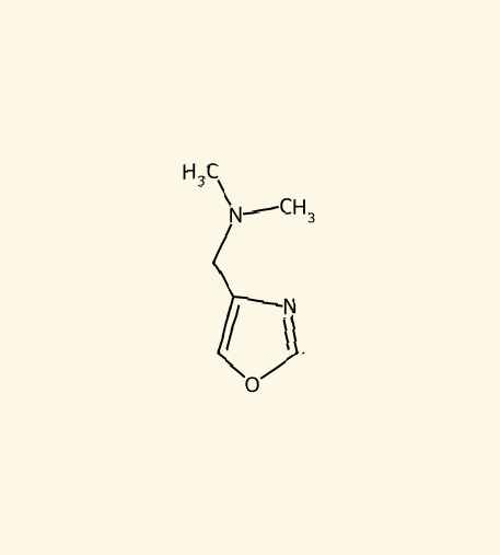 CN(C)Cc1co[c]n1